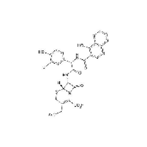 CC(=O)OCC1=C(C(=O)O)N2C(=O)[C@@H](NC(=O)C(NC(=O)c3cnc4cccnc4c3O)c3ccc(O)c(Cl)c3)[C@H]2SC1